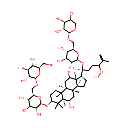 C=C(C)C(CC[C@](C)(O[C@@H]1O[C@H](CO[C@@H]2OC[C@H](O)[C@H](O)[C@H]2O)[C@@H](O)[C@H](O)[C@H]1O)[C@H]1CC[C@]2(C)[C@@H]1[C@H](O)C[C@@H]1[C@@]3(C)CC[C@H](O[C@@H]4O[C@H](CO[C@@H]5O[C@H](CO)[C@@H](O)[C@H](O)[C@H]5O)[C@@H](O)[C@H](O)[C@H]4O)C(C)(C)[C@@H]3[C@@H](O)C[C@]12C)OO